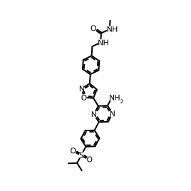 CNC(=O)NCc1ccc(-c2cc(-c3nc(-c4ccc(S(=O)(=O)C(C)C)cc4)cnc3N)on2)cc1